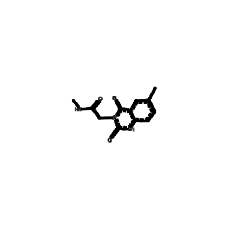 CNC(=O)Cn1c(=O)[nH]c2ccc(C)cc2c1=O